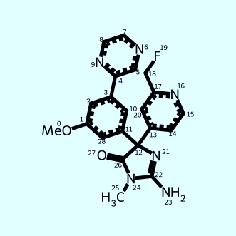 COc1cc(-c2cnccn2)cc(C2(c3ccnc(CF)c3)N=C(N)N(C)C2=O)c1